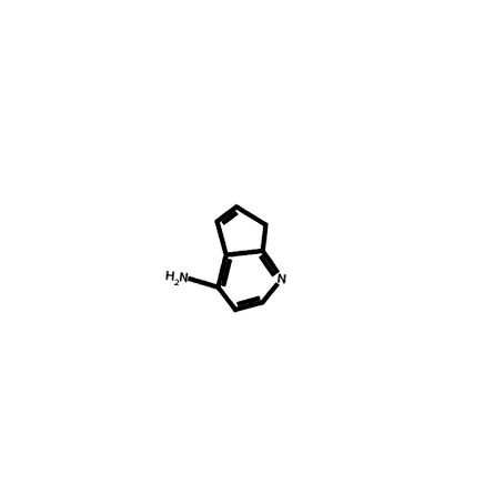 Nc1ccnc2c1C=CC2